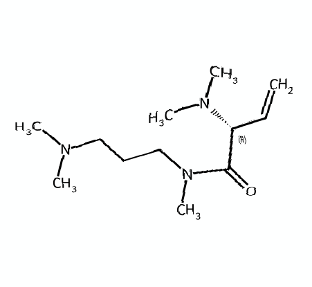 C=C[C@H](C(=O)N(C)CCCN(C)C)N(C)C